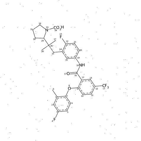 Cc1cc(F)ccc1Oc1ccc(C(F)(F)F)cc1C(=O)Nc1ccc(F)c(CC(C)(C)C2CCCN2C(=O)O)c1